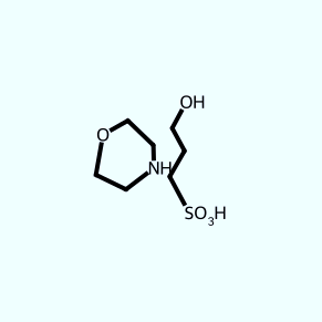 C1COCCN1.O=S(=O)(O)CCCO